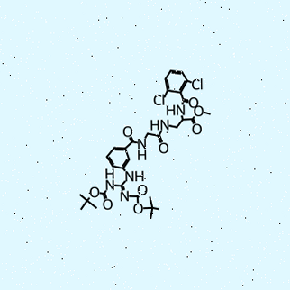 COC(=O)C(CNC(=O)CNC(=O)c1cccc(N/C(=N\C(=O)OC(C)(C)C)NC(=O)OC(C)(C)C)c1)NC(=O)c1c(Cl)cccc1Cl